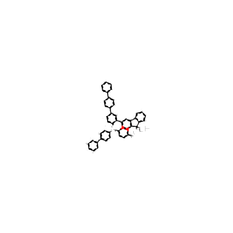 CC1(C)c2ccccc2-c2cc(-c3cc(-c4ccc(-c5ccccc5)cc4)ccc3N(c3ccc(F)cc3)c3ccc(-c4ccccc4)cc3)ccc21